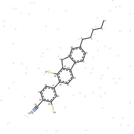 CCCCCc1ccc2c(c1)Cc1c-2ccc(-c2ccc(C#N)c(F)c2)c1F